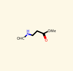 COC(=O)CCNC=O